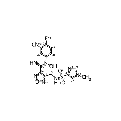 Cn1cnc(S(=O)(=O)NCc2nonc2C(=N)N(O)c2ccc(F)c(Cl)c2)c1